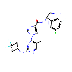 Cc1cnc(NC2CC(F)(F)C2)nc1-n1cnc(C(=O)N[C@@](C)(CN)c2cc(F)cc(Cl)c2)c1